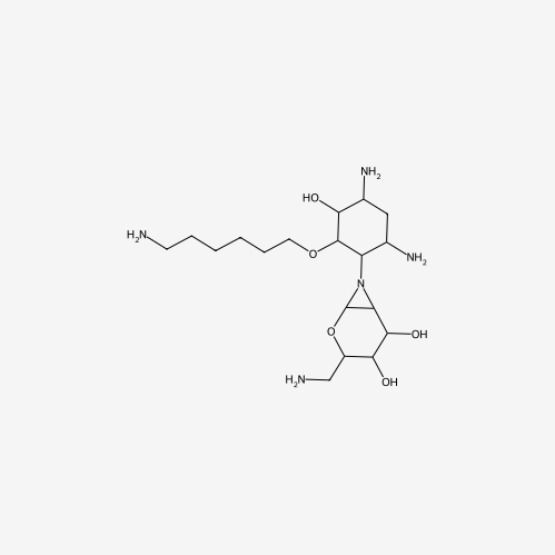 NCCCCCCOC1C(O)C(N)CC(N)C1N1C2OC(CN)C(O)C(O)C21